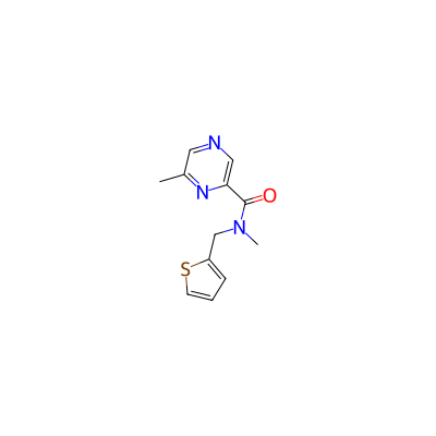 Cc1cncc(C(=O)N(C)Cc2cccs2)n1